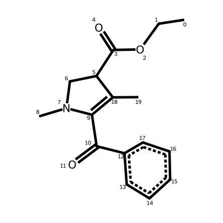 CCOC(=O)C1CN(C)C(C(=O)c2ccccc2)=C1C